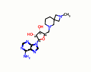 CN1CC2(CCCN(C[C@H]3O[C@@H](n4cnc5c(N)ncnc54)[C@H](O)[C@@H]3O)C2)C1